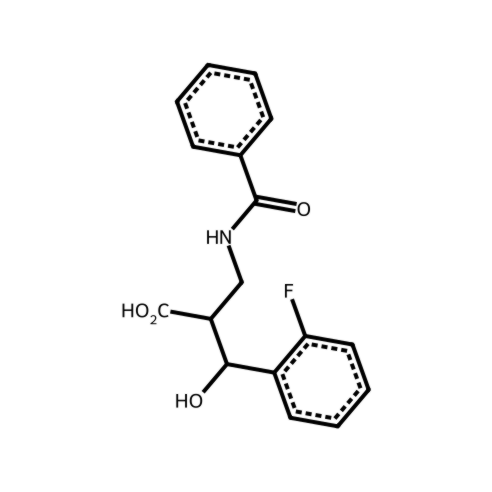 O=C(NCC(C(=O)O)C(O)c1ccccc1F)c1ccccc1